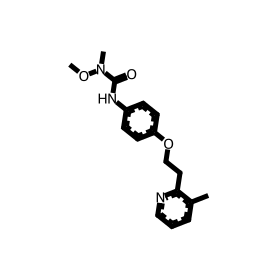 CON(C)C(=O)Nc1ccc(OCCc2ncccc2C)cc1